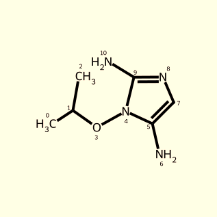 CC(C)On1c(N)cnc1N